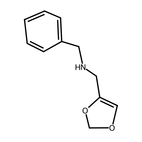 C1=C(CNCc2ccccc2)OCO1